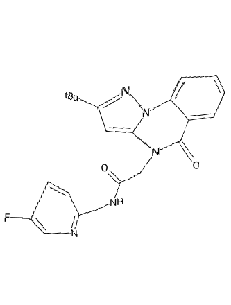 CC(C)(C)c1cc2n(CC(=O)Nc3ccc(F)cn3)c(=O)c3ccccc3n2n1